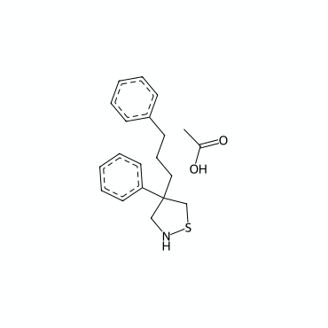 CC(=O)O.c1ccc(CCCC2(c3ccccc3)CNSC2)cc1